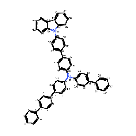 c1ccc(-c2ccc(-c3ccc(N(c4ccc(-c5ccccc5)cc4)c4ccc(-c5ccc(-n6c7ccccc7c7ccccc76)cc5)cc4)cc3)cc2)cc1